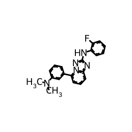 CN(C)c1cccc(-c2cccc3nc(Nc4ccccc4F)nn23)c1